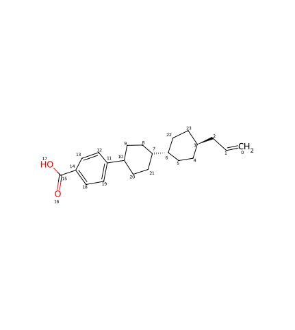 C=CC[C@H]1CC[C@H](C2CCC(c3ccc(C(=O)O)cc3)CC2)CC1